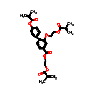 C=C(C)C(=O)OCCOC(=O)c1ccc(-c2ccc(OC(=O)C(=C)C)cc2)c(OCCOC(=O)C(=C)C)c1